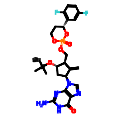 C=C1[C@H](CO[P@]2(=O)OCC[C@H](c3cc(F)ccc3F)O2)[C@@H](O[Si](C)(C)C(C)(C)C)C[C@@H]1n1cnc2c(=O)[nH]c(N)nc21